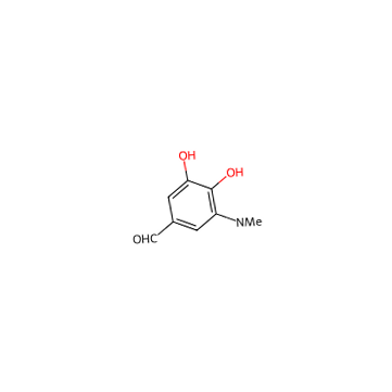 CNc1cc(C=O)cc(O)c1O